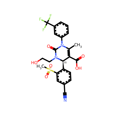 CC1=C(C(=O)O)[C@@H](c2ccc(C#N)cc2S(C)(=O)=O)N(CCO)C(=O)N1c1cccc(C(F)(F)F)c1